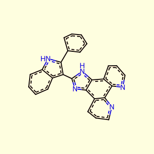 c1ccc(-c2[nH]c3ccccc3c2-c2nc3c4cccnc4c4ncccc4c3[nH]2)cc1